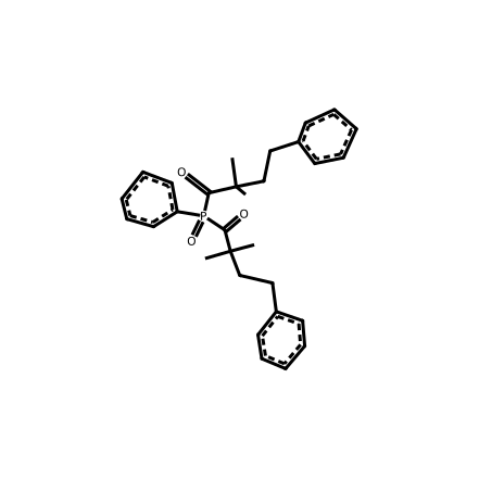 CC(C)(CCc1ccccc1)C(=O)P(=O)(C(=O)C(C)(C)CCc1ccccc1)c1ccccc1